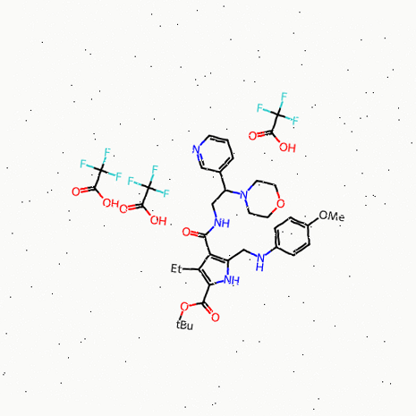 CCc1c(C(=O)OC(C)(C)C)[nH]c(CNc2ccc(OC)cc2)c1C(=O)NCC(c1cccnc1)N1CCOCC1.O=C(O)C(F)(F)F.O=C(O)C(F)(F)F.O=C(O)C(F)(F)F